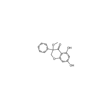 COC1(c2ccccc2)COc2cc(O)cc(O)c2C1=O